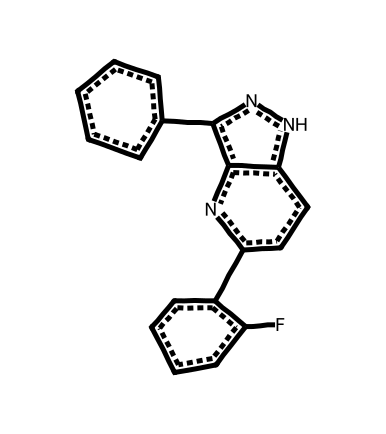 Fc1ccccc1-c1ccc2[nH]nc(-c3ccccc3)c2n1